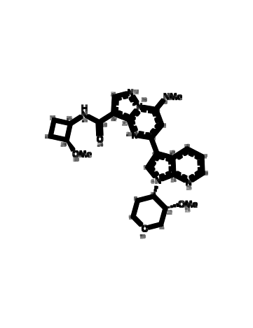 CNc1cc(-c2cn([C@H]3CCOC[C@H]3OC)c3ncccc23)nc2c(C(=O)NC3CC[C@@H]3OC)cnn12